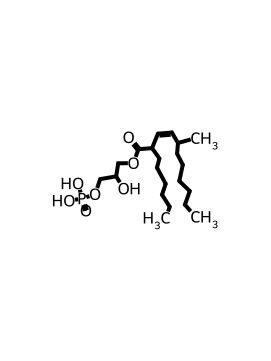 CCCCCCC(C)/C=C\C(CCCCCC)C(=O)OCC(O)COP(=O)(O)O